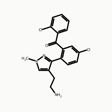 Cn1cc(CCN)c(-c2ccc(Cl)cc2C(=O)c2ccccc2Cl)n1